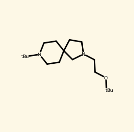 CC(C)(C)OCCN1CCC2(CCN(C(C)(C)C)CC2)C1